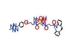 Cc1nnc(-c2ccc(OCCCNC(=O)C(CNC(=O)CCC(=O)N3Cc4ccccc4C#Cc4ccccc43)S(=O)(=O)O)cc2)nn1